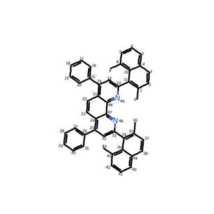 Cc1ccc2cccc(C)c2c1-c1cc(-c2ccccc2)c2ccc3c(-c4ccccc4)cc(-c4c(C)ccc5cccc(C)c45)nc3c2n1